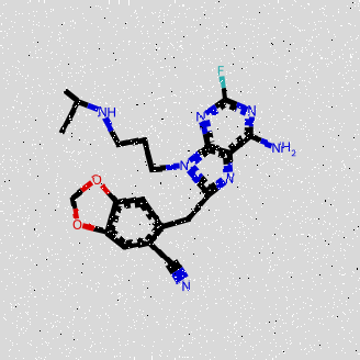 CC(C)NCCCn1c(Cc2cc3c(cc2C#N)OCO3)nc2c(N)nc(F)nc21